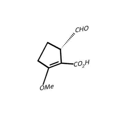 COC1=C(C(=O)O)[C@@H](C=O)CC1